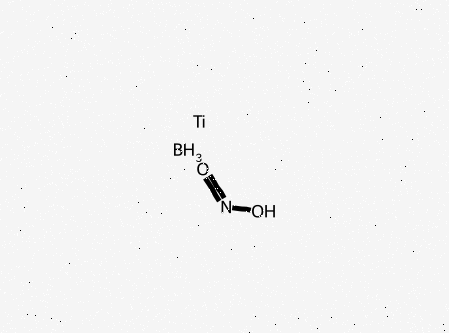 B.O=NO.[Ti]